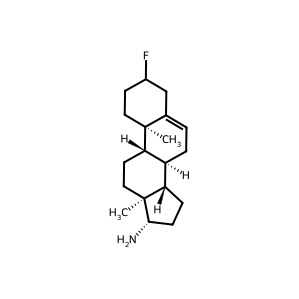 C[C@]12CC[C@H]3[C@@H](CC=C4CC(F)CC[C@@]43C)[C@@H]1CC[C@@H]2N